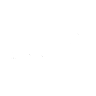 O=C1CCC(NC(=O)c2cccc(OCc3ccc(CN4CCOCC4)cc3)n2)C(=O)N1